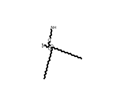 CCCCCCCCCCCCCCCCCCC1(CCCCCCCCCCCCCCCCCC)OC(CCOCCCCCCNC)C(CCN(C)C)O1